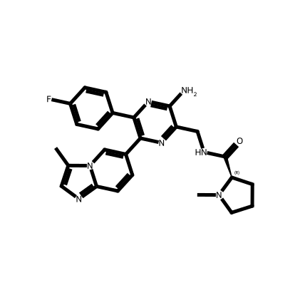 Cc1cnc2ccc(-c3nc(CNC(=O)[C@H]4CCCN4C)c(N)nc3-c3ccc(F)cc3)cn12